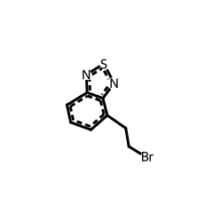 BrCCc1cccc2nsnc12